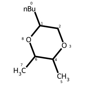 CCCCC1COC(C)C(C)O1